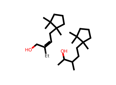 CC(O)C(C)CCC1(C)CCCC1(C)C.CCC(=CCC1(C)CCCC1(C)C)CO